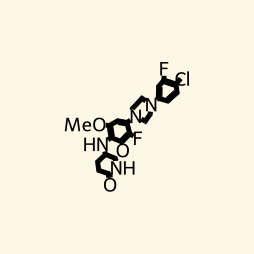 COc1cc(N2CCN(c3ccc(Cl)c(F)c3)CC2)c(F)cc1NC1CCC(=O)NC1=O